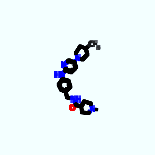 CN1CCC(C(=O)NCc2ccc(Nc3ccc(N4CCC(C(F)(F)F)CC4)cn3)cc2)CC1